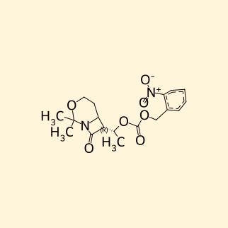 CC(OC(=O)OCc1ccccc1[N+](=O)[O-])[C@@H]1C(=O)N2C1CCOC2(C)C